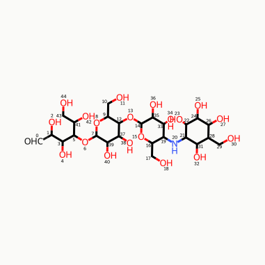 O=CC(O)C(O)C(OC1OC(CO)C(OC2OC(CO)C(NC3C(O)C(O)C(O)C(CO)C3O)C(O)C2O)C(O)C1O)C(O)CO